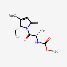 C=C1C=C(OC)[C@@H](CC(C)C)N1C(=O)[C@H](CCC)NC(=O)OC(C)(C)C